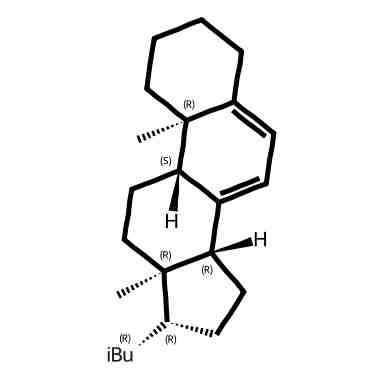 CC[C@@H](C)[C@H]1CC[C@H]2C3=CC=C4CCCC[C@]4(C)[C@H]3CC[C@]12C